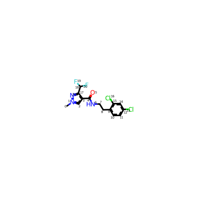 Cn1cc(C(=O)NCCc2ccc(Cl)cc2Cl)c(C(F)F)n1